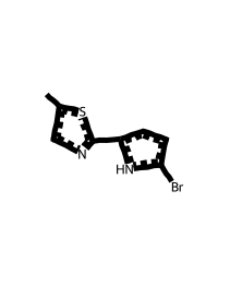 Cc1cnc(-c2ccc(Br)[nH]2)s1